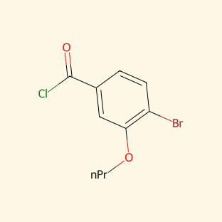 CCCOc1cc(C(=O)Cl)ccc1Br